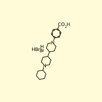 Br.Br.O=C(O)c1ccc(N2CCC(C3CCN(C4CCCCC4)CC3)CC2)cc1